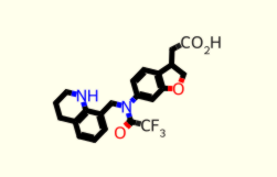 O=C(O)CC1COc2cc(N(Cc3cccc4c3NCCC4)C(=O)C(F)(F)F)ccc21